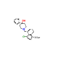 COc1ccc(Cl)c2c1CCC=C2CN1CCC(O)(c2ccccc2)CC1